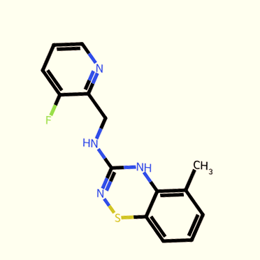 Cc1cccc2c1NC(NCc1ncccc1F)=NS2